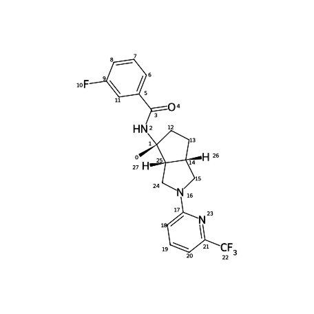 C[C@@]1(NC(=O)c2cccc(F)c2)CC[C@@H]2CN(c3cccc(C(F)(F)F)n3)C[C@@H]21